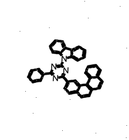 c1ccc(-c2nc(-c3ccc4ccc5ccc6ccccc6c5c4c3)nc(-n3c4ccccc4c4ccccc43)n2)cc1